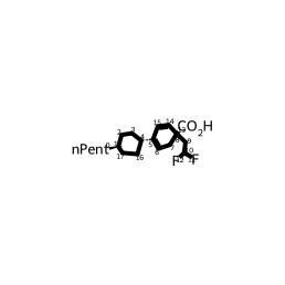 CCCCC[C@H]1CC[C@H](C2=CCC(CC(F)F)(C(=O)O)C=C2)CC1